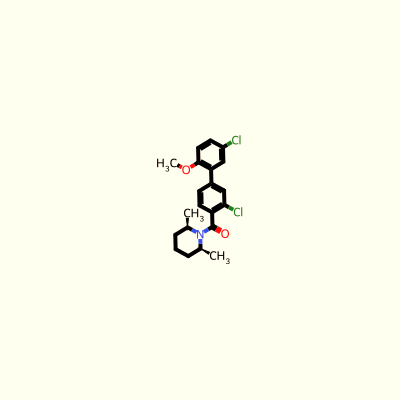 COc1ccc(Cl)cc1-c1ccc(C(=O)N2[C@H](C)CCC[C@@H]2C)c(Cl)c1